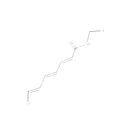 CCC/C=C/C=C/C=C/C(=O)NCC(C)C